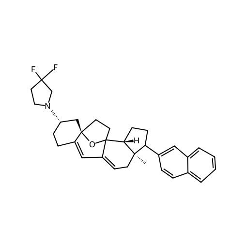 C[C@]12CC=C3C=C4CC[C@H](N5CCC(F)(F)C5)C[C@]45CCC3(O5)[C@@H]1CCC2c1ccc2ccccc2c1